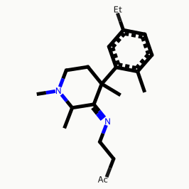 CCc1ccc(C)c(C2(C)CCN(C)C(C)/C2=N\CCC(C)=O)c1